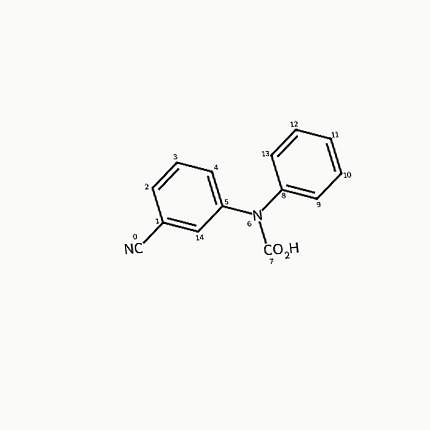 N#Cc1cccc(N(C(=O)O)c2ccccc2)c1